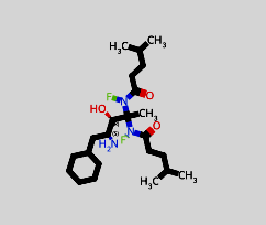 CC(C)CCC(=O)N(F)C(C)([C@H](O)[C@@H](N)CC1CCCCC1)N(F)C(=O)CCC(C)C